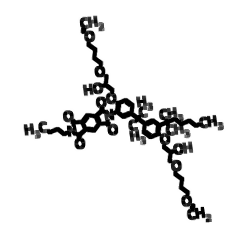 C=COCCCCOCC(O)COc1ccc(C(C)(C)c2ccc(OCC(O)COCCCCOC=C)c(C(C)(C)CCCCC)c2)cc1-n1c(=O)c2cc3c(=O)n(CCCC)c(=O)c3cc2c1=O